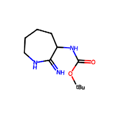 CC(C)(C)OC(=O)NC1CCCCNC1=N